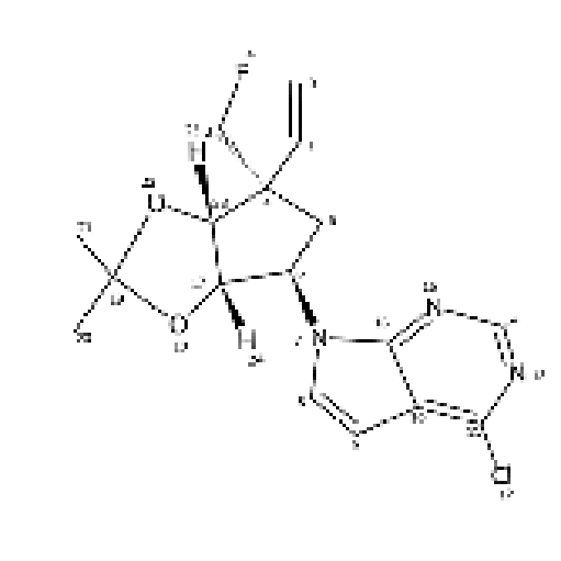 C=C[C@@]1(CF)C[C@@H](n2ccc3c(Cl)ncnc32)[C@@H]2OC(C)(C)O[C@@H]21